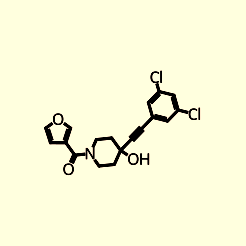 O=C(c1ccoc1)N1CCC(O)(C#Cc2cc(Cl)cc(Cl)c2)CC1